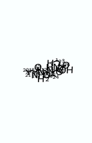 CC[C@H](C)[C@H](NC(=O)[C@@H](NC(=O)CNC(=O)[C@@H](N)CC(C)C)C(C)C)C(=O)O